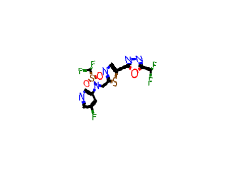 O=S(=O)(C(F)F)N(Cc1ncc(-c2nnc(C(F)F)o2)s1)c1cncc(F)c1